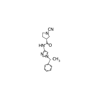 C[C@H](c1ccccc1)n1cnc(NC(=O)[C@H]2CCN(C#N)C2)c1